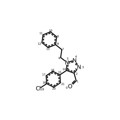 O=Cc1nnn(CCc2ccccc2)c1-c1ccc(Cl)cc1